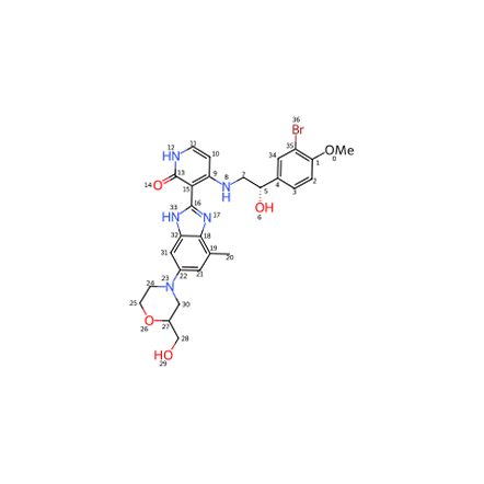 COc1ccc([C@H](O)CNc2cc[nH]c(=O)c2-c2nc3c(C)cc(N4CCOC(CO)C4)cc3[nH]2)cc1Br